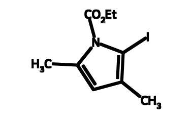 CCOC(=O)n1c(C)cc(C)c1I